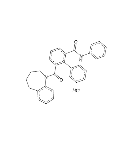 Cl.O=C(Nc1ccccc1)c1cccc(C(=O)N2CCCCc3ccccc32)c1-c1ccccc1